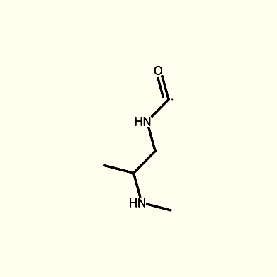 CNC(C)CN[C]=O